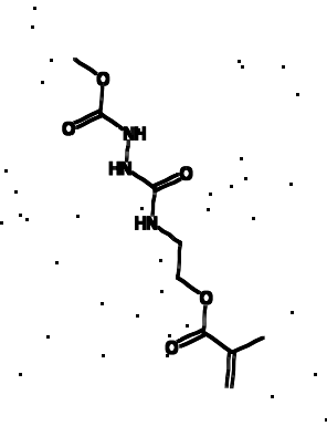 C=C(C)C(=O)OCCNC(=O)NNC(=O)OC